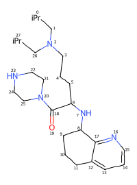 CC(C)CN(CCCC(NC1CCCc2cccnc21)C(=O)N1CCNCC1)CC(C)C